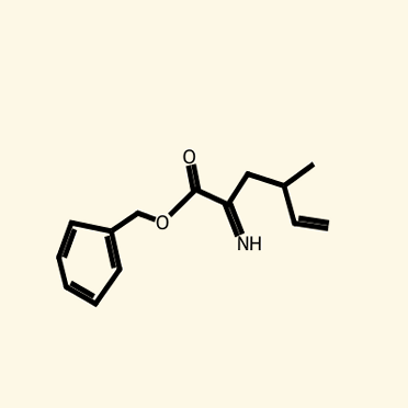 C=CC(C)CC(=N)C(=O)OCc1ccccc1